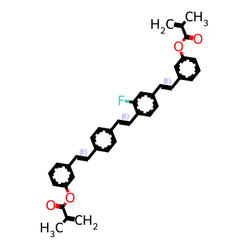 C=C(C)C(=O)Oc1cccc(/C=C/c2ccc(/C=C/c3ccc(/C=C/c4cccc(OC(=O)C(=C)C)c4)cc3F)cc2)c1